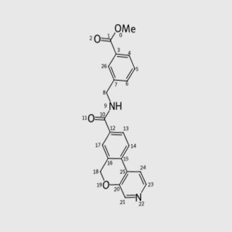 COC(=O)c1cccc(CNC(=O)c2ccc3c(c2)COc2cnccc2-3)c1